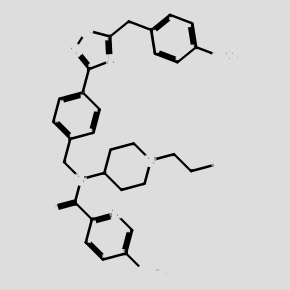 CCCCCc1ccc(C(=O)N(Cc2ccc(-c3noc(Cc4ccc(OC)cc4)n3)cc2)C2CCN(CCC(C)C)CC2)nc1